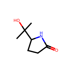 CC(C)(O)C1CCC(=O)N1